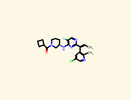 C/C=C(/c1ncc(F)c(N[C@@H]2CCCN(C(=O)C3CCC3)C2)n1)c1cc(Cl)cnc1C